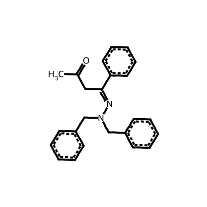 CC(=O)CC(=NN(Cc1ccccc1)Cc1ccccc1)c1ccccc1